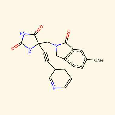 COc1ccc2c(c1)C(=O)N(CC1(C#CC3C=NC=CC3)NC(=O)NC1=O)C2